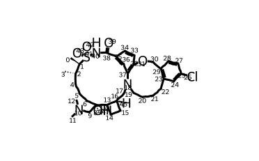 C[C@@H]1[C@@H](C)CCC[C@](O)(CN(C)C)[C@@H]2CC[C@H]2CN2CCCCc3cc(Cl)ccc3COc3ccc(cc32)C(=O)NS1(=O)=O